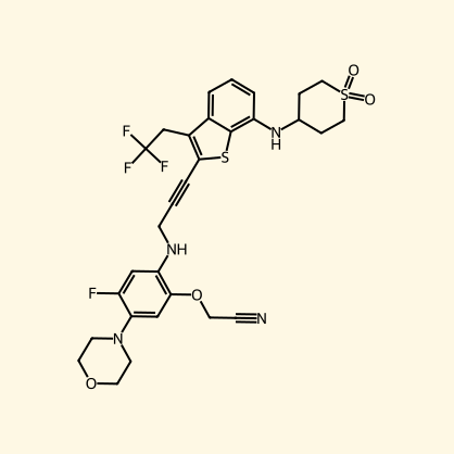 N#CCOc1cc(N2CCOCC2)c(F)cc1NCC#Cc1sc2c(NC3CCS(=O)(=O)CC3)cccc2c1CC(F)(F)F